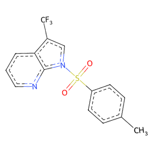 Cc1ccc(S(=O)(=O)n2cc(C(F)(F)F)c3cccnc32)cc1